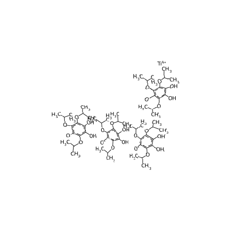 CC(C)Oc1c([O-])c(OC(C)C)c(OC(C)C)c(O)c1O.CC(C)Oc1c([O-])c(OC(C)C)c(OC(C)C)c(O)c1O.CC(C)Oc1c([O-])c(OC(C)C)c(OC(C)C)c(O)c1O.CC(C)Oc1c([O-])c(OC(C)C)c(OC(C)C)c(O)c1O.[Ti+4]